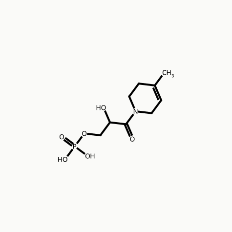 CC1=CCN(C(=O)C(O)COP(=O)(O)O)CC1